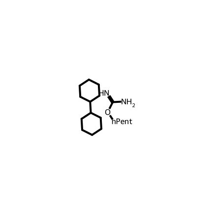 C1CCC(C2CCCCC2)CC1.CCCCCOC(=N)N